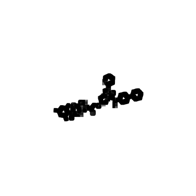 Cc1cc(C)c(S(=O)(=O)N[C@@H](CNC(=O)CO[C@@H]2C[C@@H](CNc3ccccn3)N(C(=O)Nc3ccc(-c4ccccc4)cc3)C2)C(=O)O)c(C)c1